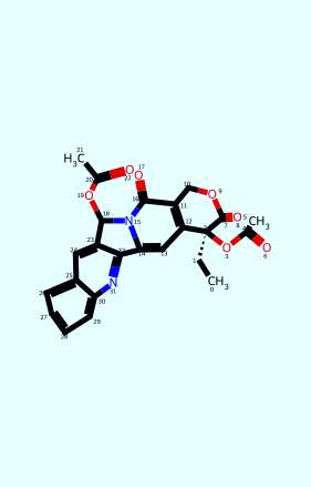 CC[C@@]1(OC(C)=O)C(=O)OCc2c1cc1n(c2=O)C(OC(C)=O)c2cc3ccccc3nc2-1